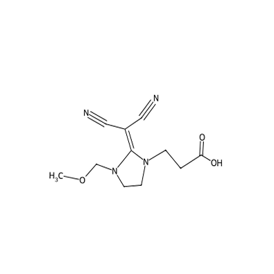 COCN1CCN(CCC(=O)O)C1=C(C#N)C#N